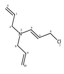 C=CCN(C=CCCl)CC=C